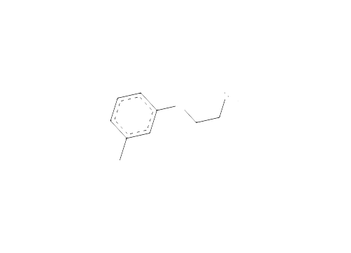 Cc1cccc(OC[C@@H](C)N)c1